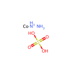 N.N.O=S(=O)(O)O.[Co]